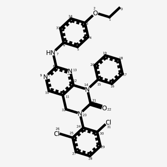 CCOc1ccc(Nc2ncc3c(n2)N(c2ccccc2)C(=O)N(c2c(Cl)cccc2Cl)C3)cc1